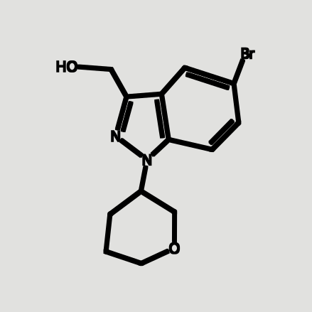 OCc1nn(C2CCCOC2)c2ccc(Br)cc12